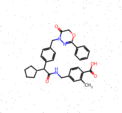 Cc1cc(CNC(=O)C(c2ccc(CN3N=C(c4ccccc4)OCC3=O)cc2)C2CCCC2)ccc1C(=O)O